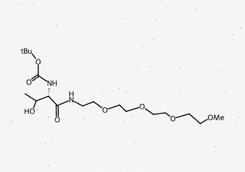 COCCOCCOCCOCCNC(=O)[C@@H](NC(=O)OC(C)(C)C)C(C)O